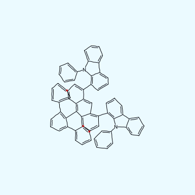 c1ccc(-c2cccc(-c3ccccc3)c2-c2c3cccc(-c4cccc5c6ccccc6n(-c6ccccc6)c45)c3cc3c(-c4cccc5c6ccccc6n(-c6ccccc6)c45)cccc23)cc1